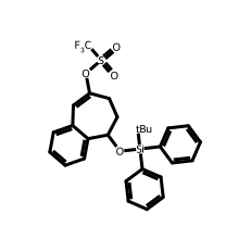 CC(C)(C)[Si](OC1CCC(OS(=O)(=O)C(F)(F)F)=Cc2ccccc21)(c1ccccc1)c1ccccc1